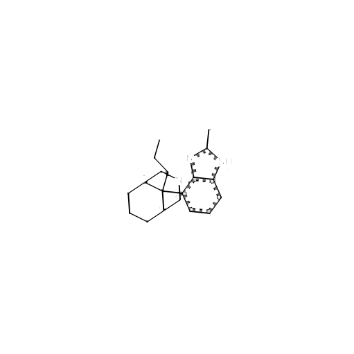 CCCC1(c2cccc3[nH]c(C)nc23)C2CCCC1CNC2